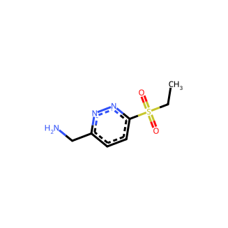 CCS(=O)(=O)c1ccc(CN)nn1